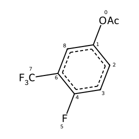 CC(=O)Oc1ccc(F)c(C(F)(F)F)c1